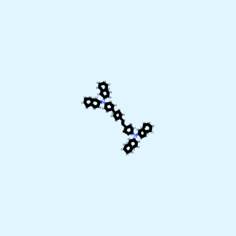 C(=Cc1ccc(N(c2ccc3ccccc3c2)c2ccc3ccccc3c2)cc1)c1ccc(-c2ccc(N(c3ccc4ccccc4c3)c3ccc4ccccc4c3)cc2)cc1